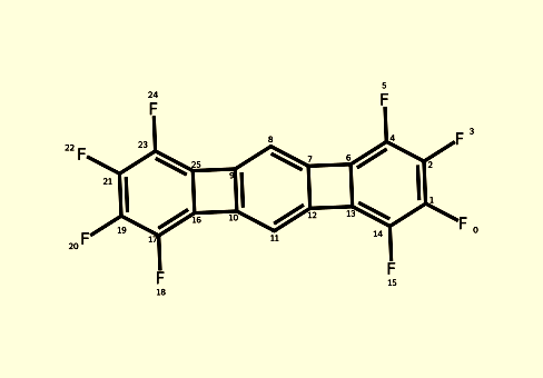 Fc1c(F)c(F)c2c3cc4c(cc3c2c1F)c1c(F)c(F)c(F)c(F)c41